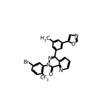 Cc1cc(-c2cnco2)cc(-c2nn(-c3cc(Br)ccc3C(F)(F)F)c(=O)c3ncccc23)c1